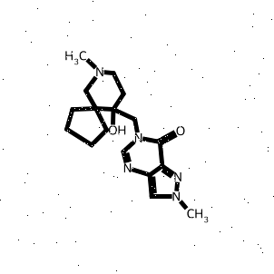 CN1CCC(O)(Cn2cnc3cn(C)nc3c2=O)C2(CCCC2)C1